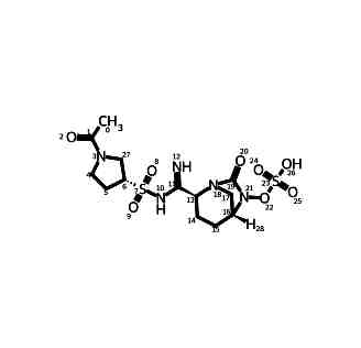 CC(=O)N1CC[C@@H](S(=O)(=O)NC(=N)[C@@H]2CC[C@@H]3CN2C(=O)N3OS(=O)(=O)O)C1